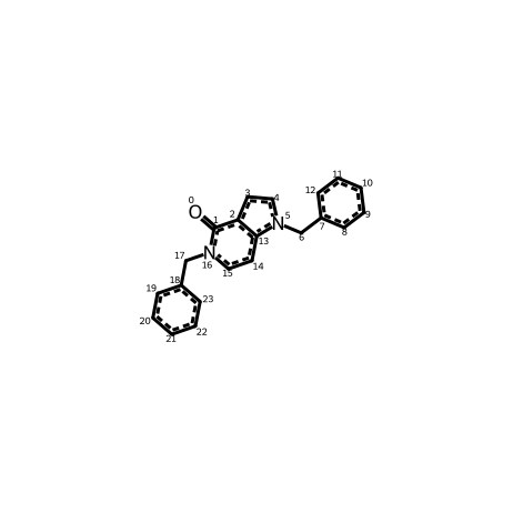 O=c1c2ccn(Cc3ccccc3)c2ccn1Cc1ccccc1